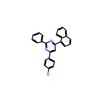 Brc1ccc(-c2cc(-c3cccc4ccccc34)nc(-c3ccccc3)n2)cc1